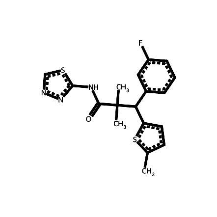 Cc1ccc(C(c2cccc(F)c2)C(C)(C)C(=O)Nc2nncs2)s1